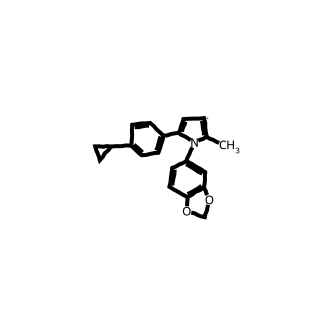 Cc1[c]cc(-c2ccc(C3CC3)cc2)n1-c1ccc2c(c1)OCO2